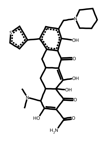 CN(C)C1C(O)=C(C(N)=O)C(=O)C2(O)C(O)=C3C(=O)c4c(O)c(CN5CCCCC5)cc(-c5ccsc5)c4CC3CC12